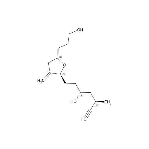 C#C[C@H](C)C[C@H](O)CC[C@@H]1O[C@@H](CCCO)CC1=C